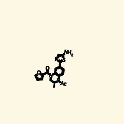 CC(=O)N1c2ccc(-c3ncc(N)s3)cc2N(C(=O)c2ccco2)C[C@@H]1C